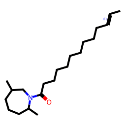 C/C=C/CCCCCCCCCC(=O)N1CC(C)CCCC1C